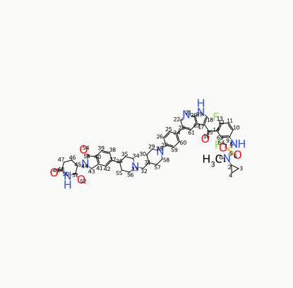 CN(C1CC1)S(=O)(=O)Nc1ccc(F)c(C(=O)c2c[nH]c3ncc(-c4ccc(N5CCC(CN6CCC(c7ccc8c(c7)CN([C@H]7CCC(=O)NC7=O)C8=O)CC6)CC5)cc4)cc23)c1F